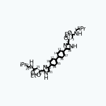 CCO[C@H](CC(=O)NCC(C)C)c1nc(-c2ccc(-c3ccc(-c4c[nH]c([C@@H](CC(=O)NCC(C)C)OCC)n4)cc3)cc2)c[nH]1